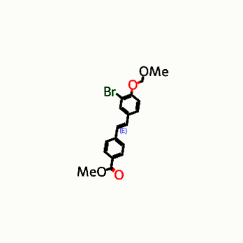 COCOc1ccc(/C=C/c2ccc(C(=O)OC)cc2)cc1Br